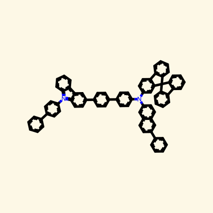 c1ccc(-c2ccc(-n3c4ccccc4c4cc(-c5ccc(-c6ccc(N(c7ccc8c(c7)C7(c9ccccc9-c9ccccc97)c7ccccc7-8)c7ccc8cc(-c9ccccc9)ccc8c7)cc6)cc5)ccc43)cc2)cc1